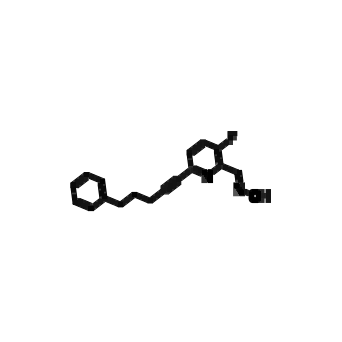 ON=Cc1nc(C#CCCCc2ccccc2)ccc1F